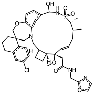 CO[C@@]1(CC(=O)NCc2ncco2)/C=C/C[C@H](C)[C@@H](C)S(=O)(=O)NC(O)c2ccc3c(c2)N(C[C@@H]2CC[C@H]21)C[C@@]1(CCCc2cc(Cl)ccc21)CO3